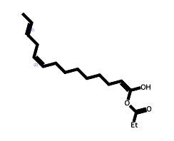 C/C=C/C/C=C\CCCCCCC=C(O)OC(=O)CC